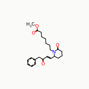 COC(=O)CCCCCCN1C(=O)CCCC1C=CC(=O)Cc1ccccc1